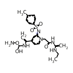 C=C(NCC)NC(=O)Cn1ccc(C(=C)NC(O)ON)c/c1=N\S(=O)(=O)c1ccc(C)cc1